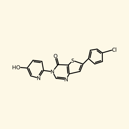 O=c1c2sc(-c3ccc(Cl)cc3)cc2ncn1-c1ccc(O)cn1